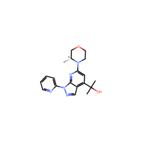 C[C@@H]1COCCN1c1cc(C(C)(C)O)c2cnn(-c3ccccn3)c2n1